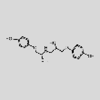 CC(COc1ccc(O)cc1)NCC(O)COc1ccc(O)cc1